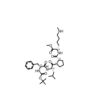 CNCCCC[C@H](NC(=O)[C@@H]1CCCN1C(=O)[C@H](CC(C)C)NC(=O)[C@H](Cc1ccccc1)NC(=O)OC(C)(C)C)C(=O)OC